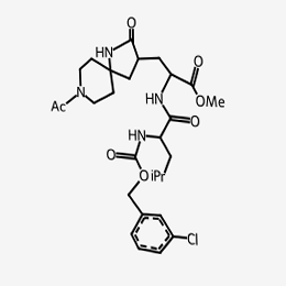 COC(=O)C(CC1CC2(CCN(C(C)=O)CC2)NC1=O)NC(=O)C(CC(C)C)NC(=O)OCc1cccc(Cl)c1